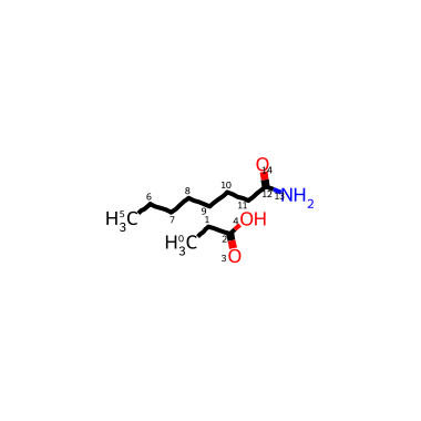 CCC(=O)O.CCCCCCCC(N)=O